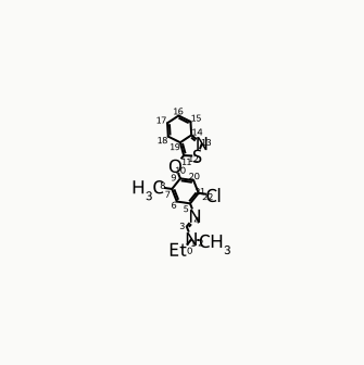 CCN(C)C=Nc1cc(C)c(Oc2snc3ccccc23)cc1Cl